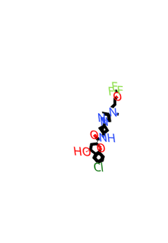 CN(CCCOC(F)(F)F)c1cnn(C23CC(NC(=O)[C@H]4C[C@@H](O)c5cc(Cl)ccc5O4)(C2)C3)c1